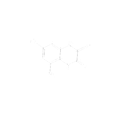 Nc1cc(C(F)(F)F)cc2[nH]c(=O)c(=O)[nH]c12